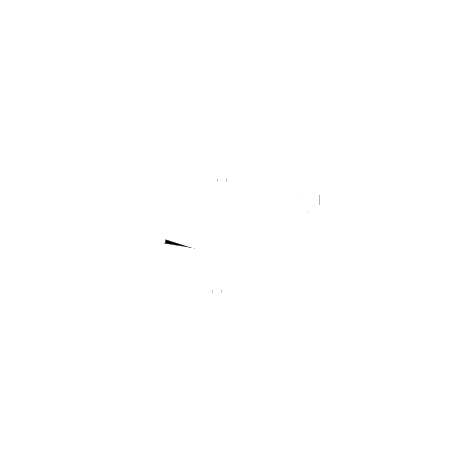 COC1C(O)C2OC2O[C@H]1C